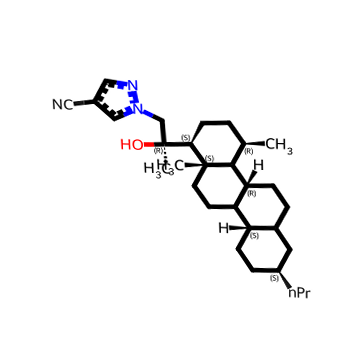 CCC[C@H]1CC[C@H]2C(CC[C@@H]3C2CC[C@@]2(C)C3[C@H](C)CC[C@@H]2[C@@](C)(O)Cn2cc(C#N)cn2)C1